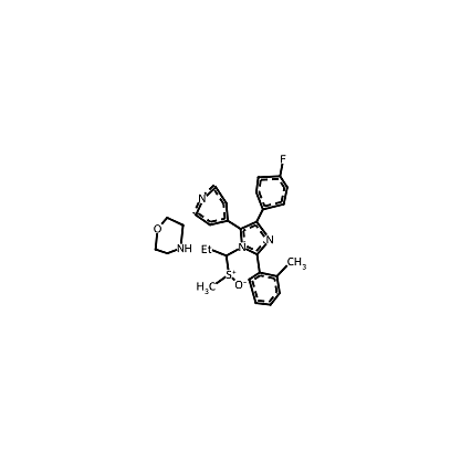 C1COCCN1.CCC(n1c(-c2ccccc2C)nc(-c2ccc(F)cc2)c1-c1ccncc1)[S+](C)[O-]